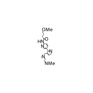 CNCCN(C)CC1=CCN=C1c1ccc(NC(=O)CCCOC)nc1